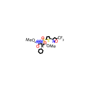 COCNC(=O)[C@]1(NS(=O)(=O)c2ccc(-c3cc(C(F)(F)F)on3)s2)[C@H](COC)[C@@H]1c1ccccc1